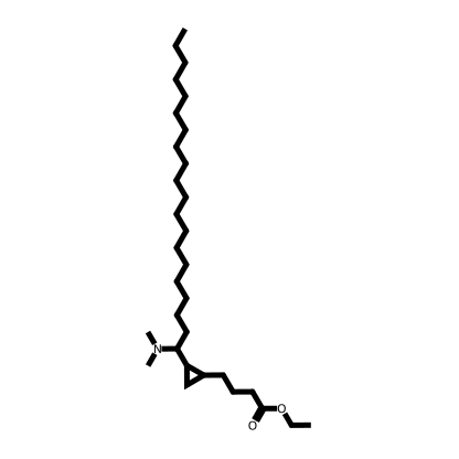 CCCCCCCCCCCCCCCCCCCC(C1CC1CCCC(=O)OCC)N(C)C